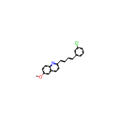 COc1ccc2nc(/C=C/C=C/c3cccc(Cl)c3)ccc2c1